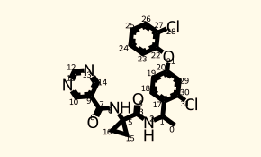 CC(NC(=O)C1(NC(=O)c2cncnc2)CC1)c1ccc(Oc2ccccc2Cl)cc1Cl